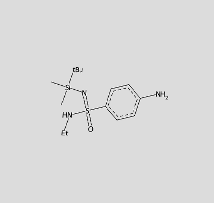 CCNS(=O)(=N[Si](C)(C)C(C)(C)C)c1ccc(N)cc1